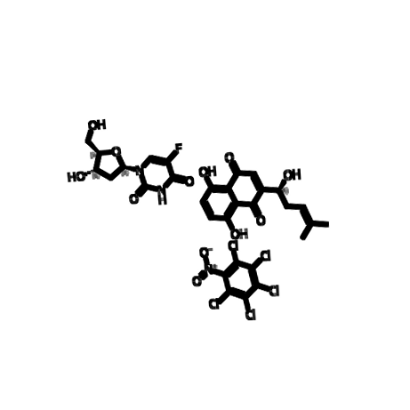 CC(C)=CC[C@H](O)C1=CC(=O)c2c(O)ccc(O)c2C1=O.O=[N+]([O-])c1c(Cl)c(Cl)c(Cl)c(Cl)c1Cl.O=c1[nH]c(=O)n([C@H]2C[C@H](O)[C@@H](CO)O2)cc1F